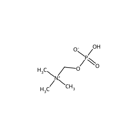 C[N+](C)(C)COP(=O)([O-])O